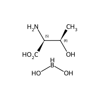 C[C@@H](O)[C@H](N)C(=O)O.OBO